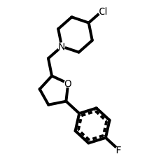 Fc1ccc(C2CCC(CN3CCC(Cl)CC3)O2)cc1